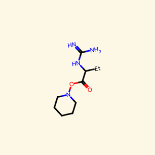 CCC(NC(=N)N)C(=O)ON1CCCCC1